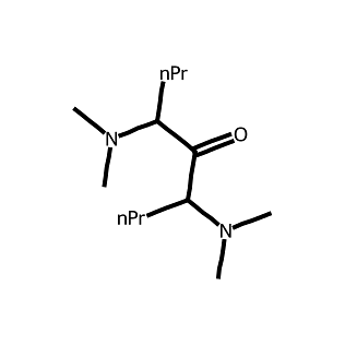 CCCC(C(=O)C(CCC)N(C)C)N(C)C